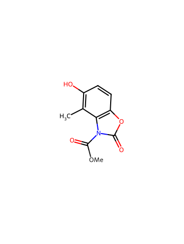 COC(=O)n1c(=O)oc2ccc(O)c(C)c21